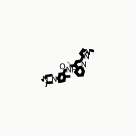 CCn1ccc(-c2cc([C@@H](C)NC(=O)c3cc(N4CCN(C)[C@H](C)C4)ccc3C)c3ccccc3n2)n1